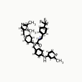 Cc1cc(Nc2ccc(CN(C(=O)/C=C/c3ccc(C(F)(F)F)cc3)C3CCN(Cc4cnc(C)n4C)CC3)cc2)ccn1